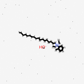 CCCCCCCCCCCCCCCCCC[N+](CC)(CC)c1ccccc1C.[OH-]